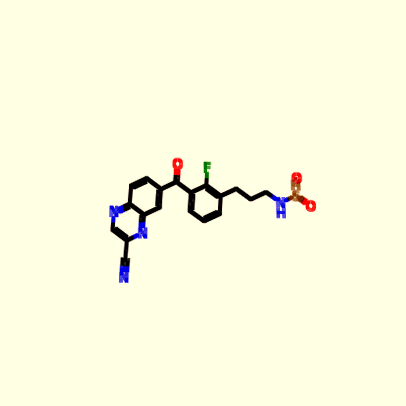 N#Cc1cnc2ccc(C(=O)c3cccc(CCCN[SH](=O)=O)c3F)cc2n1